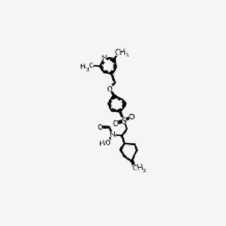 C=C1CCC(C(CS(=O)(=O)c2ccc(OCc3cc(C)nc(C)c3)cc2)N(O)C=O)CC1